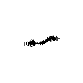 C[C@@H]1CNc2c(sc3ccc4nc(-c5ccc(N6CCC7(CC6)CN(CCCCCCc6cccc8c6n(C)c(=O)n8C6CCC(=O)NC6=O)C7)cc5)ccc4c23)C(=O)N1